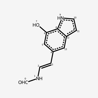 O=CNC=Cc1cc(O)c2[nH]ccc2c1